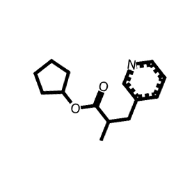 CC(Cc1cccnc1)C(=O)OC1CCCC1